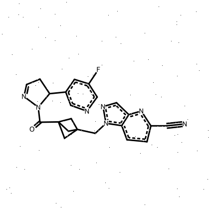 N#Cc1ccc2c(cnn2CC23CC(C(=O)N4N=CCC4c4cncc(F)c4)(C2)C3)n1